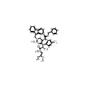 CCOC(CN(C(=O)C(C)N(C(=O)C(CN(CC1c2ccccc2-c2ccccc21)C(=O)O)NC(=O)OCc1ccccc1)c1ccc(C(F)(F)F)cc1)C(C)C)OCC